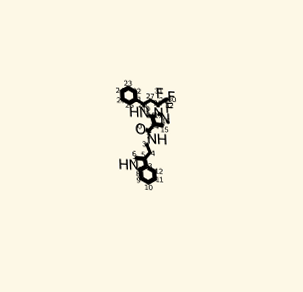 O=C(NCCc1c[nH]c2ccccc12)c1cnn2c1NC(c1ccccc1)CC2C(F)(F)F